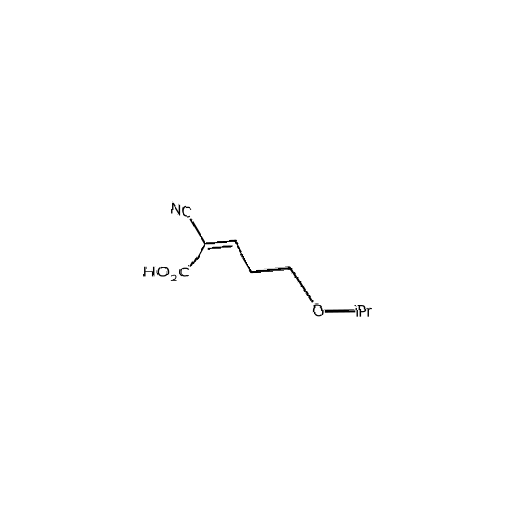 CC(C)OCCC=C(C#N)C(=O)O